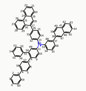 c1ccc(-c2ccc(-c3ccc(N(c4ccc(-c5cc6ccccc6c6ccccc56)cc4)c4cccc(-c5ccc6ccccc6c5)c4)cc3-c3ccccc3)cc2)cc1